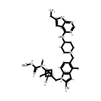 Cc1c(CN2CCC(Nc3ncnc4sc(CC(F)(F)F)cc34)CC2)ccc2c1cc(C#N)n2CC12CC(N(C)C(=O)OC(C)(C)C)(C1)[C@H]2C